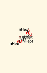 CCCCCCCC(CCCCCCC)(CCCC(=O)OOCCCCCC)C(=O)OOCCCCCC